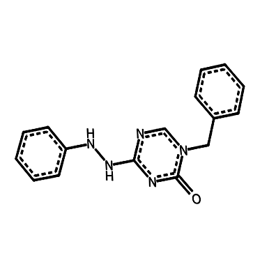 O=c1nc(NNc2ccccc2)ncn1Cc1ccccc1